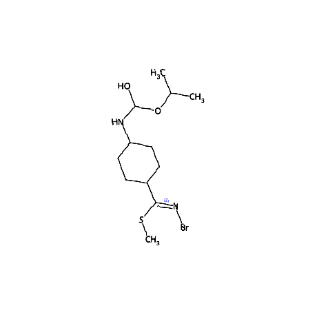 CS/C(=N\Br)C1CCC(NC(O)OC(C)C)CC1